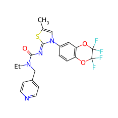 CCN(Cc1ccncc1)C(=O)/N=c1\sc(C)cn1-c1ccc2c(c1)OC(F)(F)C(F)(F)O2